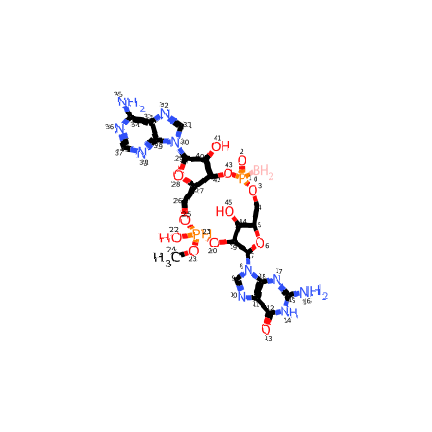 BP1(=O)OCC2OC(n3cnc4c(=O)[nH]c(N)nc43)C(O[PH](O)(OC)OCC3OC(n4cnc5c(N)ncnc54)C(O)C3O1)C2O